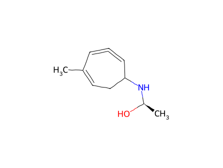 CC1=CCC(N[C@@H](C)O)C=C=C1